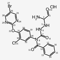 Cl.NC(C=O)NNC(=O)N(C(=O)c1ccccc1)c1ccc(Oc2ncc(Br)cn2)c(Cl)c1